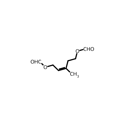 C/C(=C/COC=O)CCOC=O